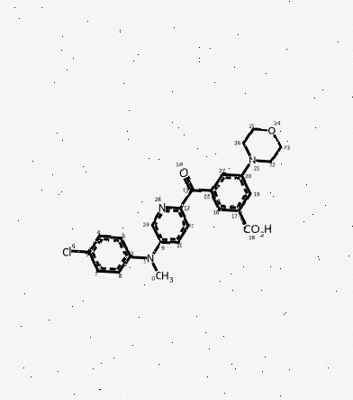 CN(c1ccc(Cl)cc1)c1ccc(C(=O)c2cc(C(=O)O)cc(N3CCOCC3)c2)nc1